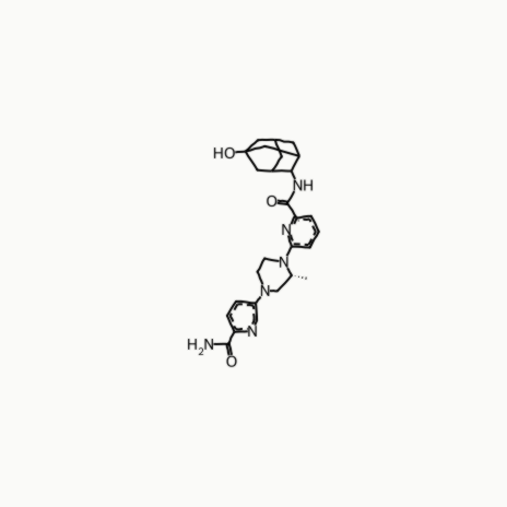 C[C@@H]1CN(c2ccc(C(N)=O)nc2)CCN1c1cccc(C(=O)NC2C3CC4CC2CC(O)(C4)C3)n1